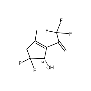 C=C(C1=C(C)CC(F)(F)[C@H]1O)C(F)(F)F